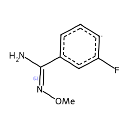 CO/N=C(/N)c1cc[c]c(F)c1